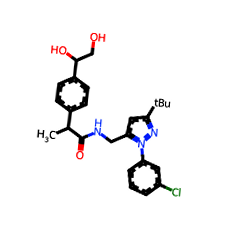 CC(C(=O)NCc1cc(C(C)(C)C)nn1-c1cccc(Cl)c1)c1ccc(C(O)CO)cc1